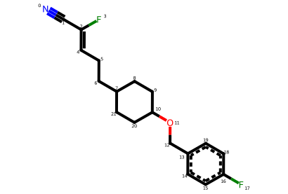 N#CC(F)=CCCC1CCC(OCc2ccc(F)cc2)CC1